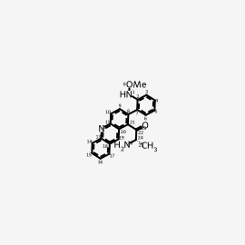 CONc1ccccc1-c1ccc2nc3ccccc3cc2c1C(=O)[C@H](C)N